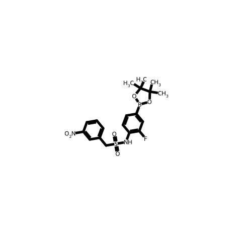 CC1(C)OB(c2ccc(NS(=O)(=O)Cc3cccc([N+](=O)[O-])c3)c(F)c2)OC1(C)C